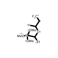 CCC(OC(F)CC(F)(F)F)[Si](OC)(OC)OC